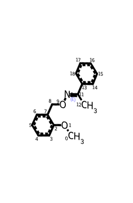 COc1ccccc1CO/N=C(\C)c1ccccc1